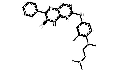 Cc1cc(Nc2ncc3nc(-c4ccccc4)c(=O)[nH]c3n2)ccc1N(C)CCN(C)C